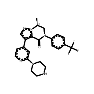 C[C@H]1CN(c2ccc(C(F)(F)F)cc2)C(=O)c2c(-c3ccnc(N4CCNCC4)c3)cnn21